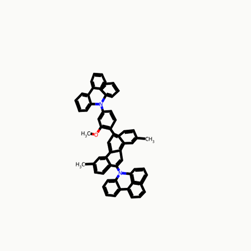 COc1cc(N(c2ccccc2)c2ccccc2-c2ccccc2)ccc1-c1cc2c3cc(C)ccc3c(N(c3ccccc3)c3ccccc3-c3ccccc3)cc2c2cc(C)ccc12